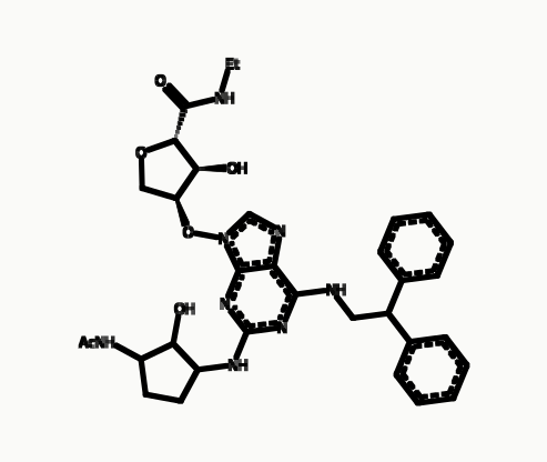 CCNC(=O)[C@H]1OC[C@H](On2cnc3c(NCC(c4ccccc4)c4ccccc4)nc(NC4CCC(NC(C)=O)C4O)nc32)[C@@H]1O